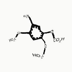 Nc1cc(OC(=O)O)c(OC(=O)O)cc1OC(=O)O